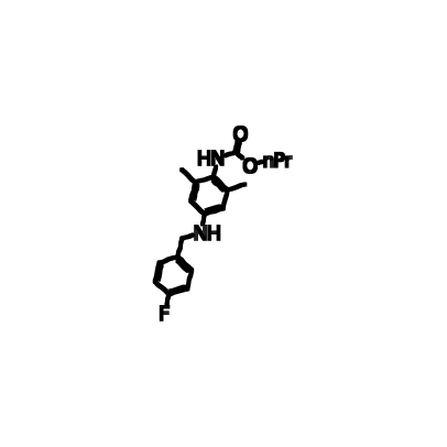 CCCOC(=O)Nc1c(C)cc(NCc2ccc(F)cc2)cc1C